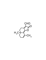 CC1=CCC[C@]2(C)CCC3=C(C=O)C(=O)OC3=C12